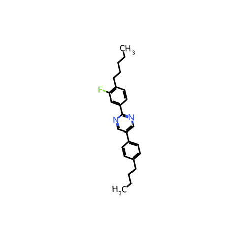 CCCCCc1ccc(-c2ncc(-c3ccc(CCCC)cc3)cn2)cc1F